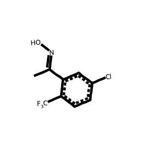 C/C(=N\O)c1cc(Cl)ccc1C(F)(F)F